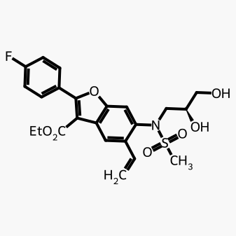 C=Cc1cc2c(C(=O)OCC)c(-c3ccc(F)cc3)oc2cc1N(C[C@H](O)CO)S(C)(=O)=O